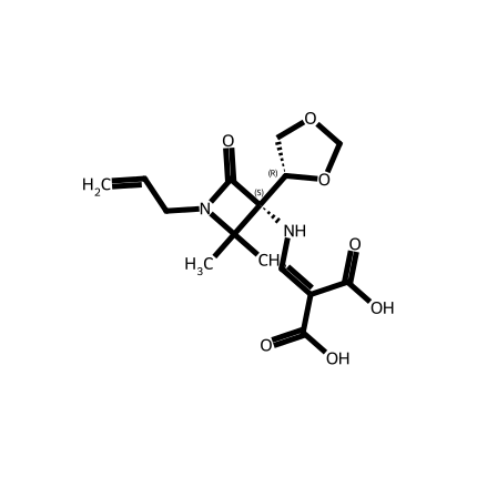 C=CCN1C(=O)[C@@](NC=C(C(=O)O)C(=O)O)([C@@H]2COCO2)C1(C)C